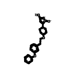 [O-][s+]1nc(O)cc1-c1ccc(OCCc2cccc(Oc3ccccc3)c2)cc1